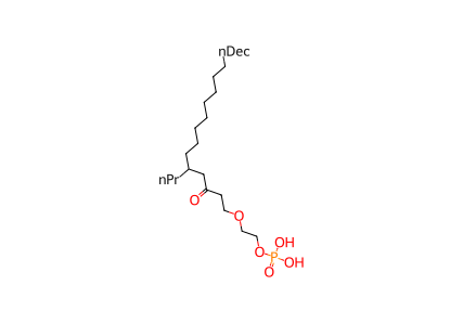 CCCCCCCCCCCCCCCCCCC(CCC)CC(=O)CCOCCOP(=O)(O)O